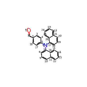 O=Cc1ccc(N(c2cccc3ccccc23)c2cccc3ccccc23)cc1